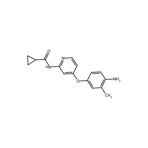 Cc1cc(Oc2ccnc(NC(=O)C3CC3)c2)ccc1N